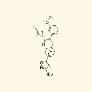 CC(C)Oc1cccc(N(CC23CCC(c4nc(C(C)(C)C)no4)(CC2)CC3)C(=O)C23CC(F)(C2)C3)c1